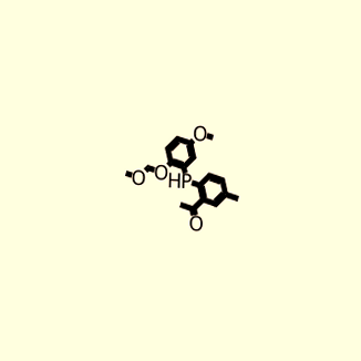 COCOc1ccc(OC)cc1Pc1ccc(C)cc1C(C)=O